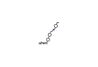 C=CC1CCC(/C=C/CCC2CCC(C3CCC(CCCCC)CC3)CC2)CC1